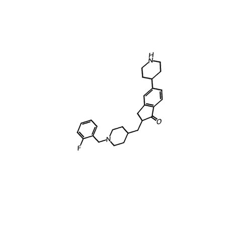 O=C1c2ccc(C3CCNCC3)cc2CC1CC1CCN(Cc2ccccc2F)CC1